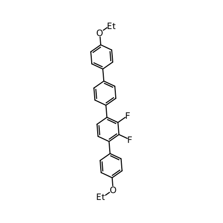 CCOc1ccc(-c2ccc(-c3ccc(-c4ccc(OCC)cc4)c(F)c3F)cc2)cc1